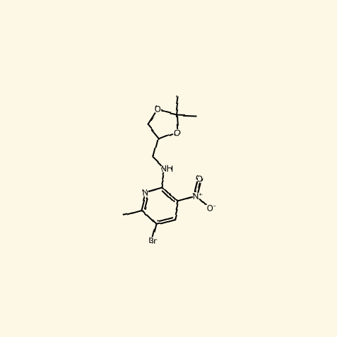 Cc1nc(NCC2COC(C)(C)O2)c([N+](=O)[O-])cc1Br